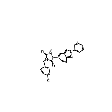 Cn1c(=O)n(Cc2ccc(Cl)cc2)c(=O)n1-c1ccc2nn(-c3cccnc3)cc2c1